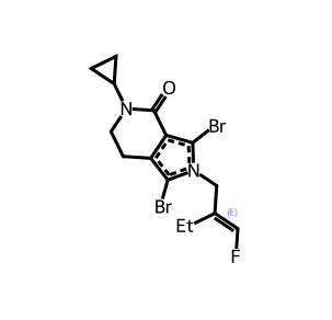 CC/C(=C\F)Cn1c(Br)c2c(c1Br)C(=O)N(C1CC1)CC2